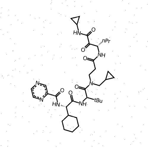 CCC[C@H](NC(=O)CCN(CC1CC1)C(=O)C(NC(=O)[C@@H](NC(=O)c1cnccn1)C1CCCCC1)C(C)(C)C)C(=O)C(=O)NC1CC1